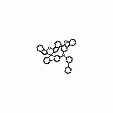 c1ccc(-c2cccc(N(c3ccc4c(c3)C3(c5ccccc5-4)c4ccc5ccccc5c4Oc4c3ccc3ccccc43)c3ccc4oc5ccccc5c4c3)c2)cc1